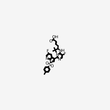 Cc1ccc(S(=O)(=O)n2cc(-c3ncc(F)c(NC(CC=CC(=O)O)C(C)(C)C)n3)c3cc(F)cnc32)cc1